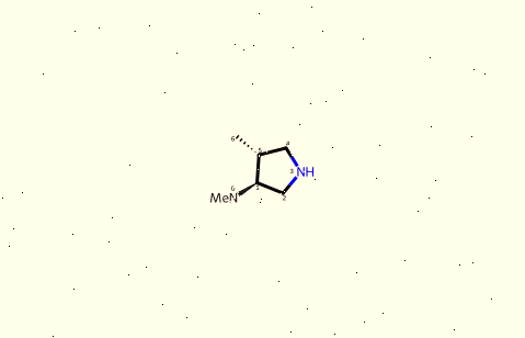 CN[C@@H]1CNC[C@H]1C